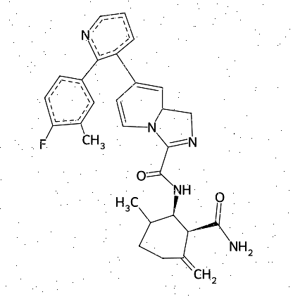 C=C1CCC(C)[C@@H](NC(=O)C2=NCC3C=C(c4cccnc4-c4ccc(F)c(C)c4)C=CN23)[C@H]1C(N)=O